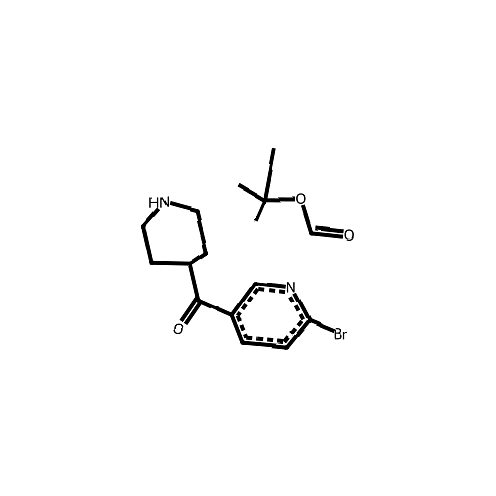 CC(C)(C)OC=O.O=C(c1ccc(Br)nc1)C1CCNCC1